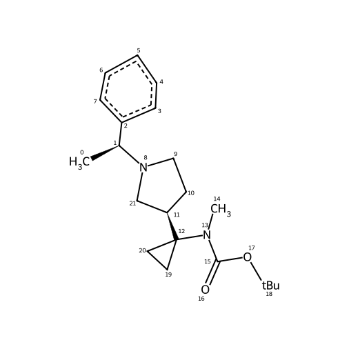 C[C@@H](c1ccccc1)N1CC[C@@H](C2(N(C)C(=O)OC(C)(C)C)CC2)C1